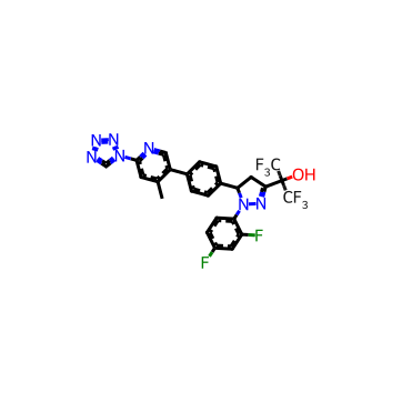 Cc1cc(-n2cnnn2)ncc1-c1ccc(C2CC(C(O)(C(F)(F)F)C(F)(F)F)=NN2c2ccc(F)cc2F)cc1